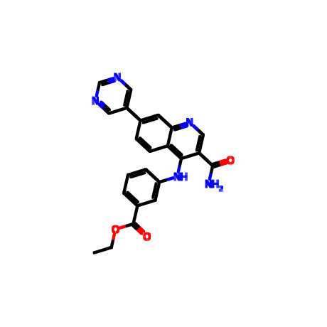 CCOC(=O)c1cccc(Nc2c(C(N)=O)cnc3cc(-c4cncnc4)ccc23)c1